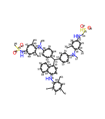 Cc1cc(C)c(Nc2ccc(C(c3ccc(N(C)c4c(C)cc(NC[SH](=O)=O)cc4C)cc3)c3ccc(N(C)c4c(C)cc(NS(C)(=O)=O)cc4C)cc3)c3ccccc23)c(C)c1